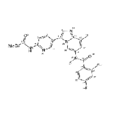 COC(=O)Nc1ccc(-c2cnc3c(C)cc(N(C)C(=O)c4ccc(F)cc4F)cn23)cn1